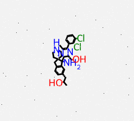 Cc1nc(C2(N)c3cc(CC(C)O)ccc3CC23CCNCC3)c(CO)nc1-c1cccc(Cl)c1Cl